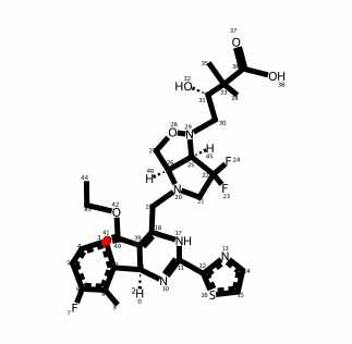 [2H][C@@]1(c2cccc(F)c2C)N=C(c2nccs2)NC(CN2CC(F)(F)[C@H]3[C@@H]2CON3C[C@H](O)C(C)(C)C(=O)O)=C1C(=O)OCC